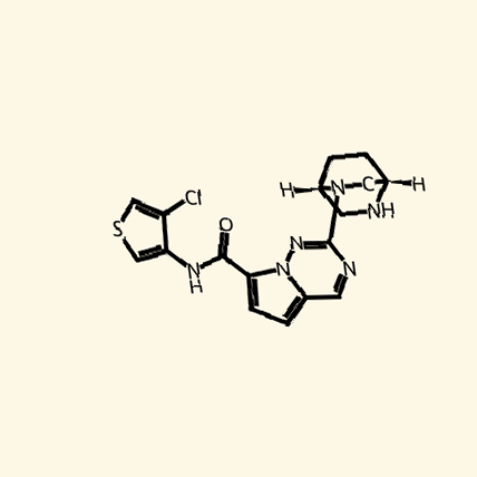 O=C(Nc1cscc1Cl)c1ccc2cnc(N3C[C@@H]4CC[C@H]3CN4)nn12